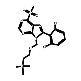 C[Si](C)(C)CCOCn1c(-c2c(Cl)cccc2Cl)nc2c(S(C)(=O)=O)ncnc21